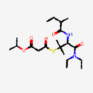 CCC(C)C(=O)NC(C(=O)N(CC)CC)C(C)(C)SC(=O)CC(=O)OC(C)C